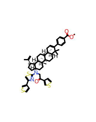 C=C(C)[C@@H]1CC[C@]2(N(CC(=O)c3ccsc3)c3nc(-c4ccsc4)cs3)CC[C@]3(C)[C@H](CC[C@@H]4[C@@]5(C)CC=C(c6ccc(C(=O)OC)cc6)C(C)(C)[C@@H]5CC[C@]43C)[C@@H]12